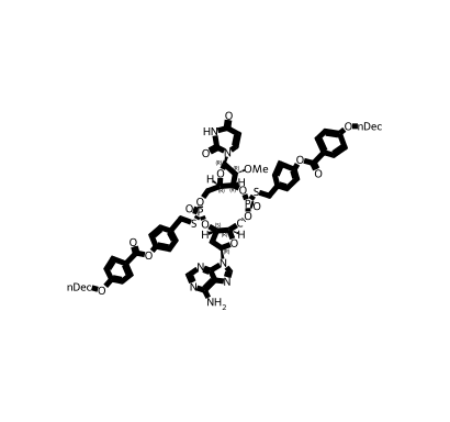 CCCCCCCCCCOc1ccc(C(=O)Oc2ccc(CSP3(=O)OC[C@H]4O[C@@H](n5cnc6c(N)ncnc65)C[C@@H]4OP(=O)(SCc4ccc(OC(=O)c5ccc(OCCCCCCCCCC)cc5)cc4)OC[C@H]4O[C@@H](n5ccc(=O)[nH]c5=O)[C@H](OC)[C@@H]4O3)cc2)cc1